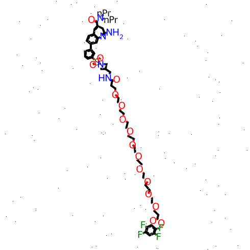 CCCN(CCC)C(=O)C1=Cc2ccc(-c3cccc(S(=O)(=O)N4CC(CNC(=O)CCOCCOCCOCCOCCOCCOCCOCCOCCOCCOCCC(=O)Oc5c(F)c(F)cc(F)c5F)C4)c3)cc2N=C(N)C1